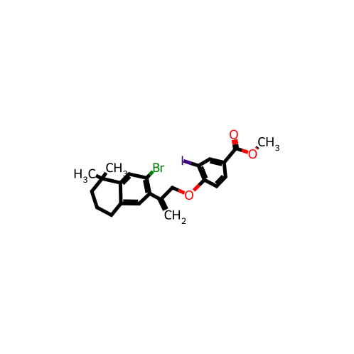 C=C(COc1ccc(C(=O)OC)cc1I)c1cc2c(cc1Br)C(C)(C)CCC2